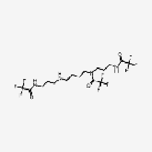 O=C(NCCCNCCCCN(CCCNC(=O)C(F)(F)F)C(=O)C(F)(F)F)C(F)(F)F